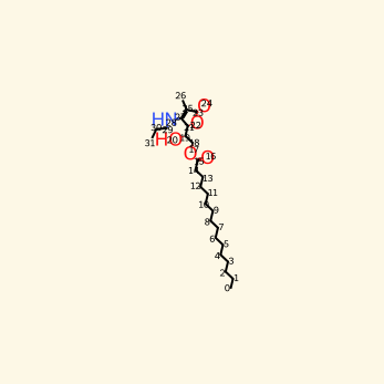 CCCCCCCCCCCCCCCC(=O)OC[C@H](O)[C@H]1OC(=O)C(C)=C1NCCC